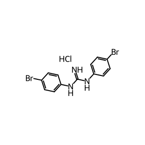 Cl.N=C(Nc1ccc(Br)cc1)Nc1ccc(Br)cc1